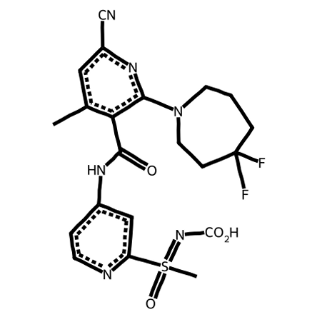 Cc1cc(C#N)nc(N2CCCC(F)(F)CC2)c1C(=O)Nc1ccnc(S(C)(=O)=NC(=O)O)c1